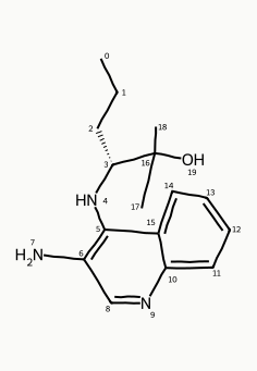 CCC[C@@H](Nc1c(N)cnc2ccccc12)C(C)(C)O